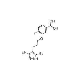 CCc1n[nH]c(CC)c1CCCOc1cc(C(O)O)ccc1I